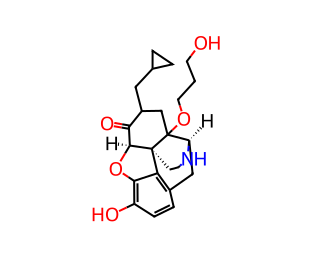 O=C1C(CC2CC2)CC2(OCCCO)[C@H]3Cc4ccc(O)c5c4[C@@]2(CCN3)[C@H]1O5